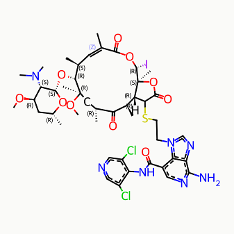 CO[C@@H]1C[C@@H](C)O[C@@H](O[C@@H]2[C@@H](C)/C=C(/C)C(=O)O[C@H](I)[C@@]3(C)OC(=O)C(SCCn4cnc5c(N)ncc(C(=O)Nc6c(Cl)cncc6Cl)c54)[C@@H]3[C@@H](C)C(=O)[C@H](C)C[C@@]2(C)OC)[C@H]1N(C)C